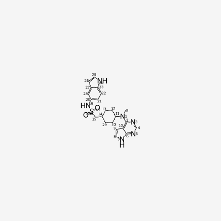 CN(c1ncnc2[nH]ccc12)C1CCC(CS(=O)(=O)Nc2ccc3[nH]ccc3c2)CC1